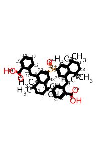 CC1(C)CCC(C)(C)c2c(Cc3ccccc3C(=O)O)cc([S+]([O-])c3cc(Cc4ccccc4C(=O)O)c4c(c3)C(C)(C)CCC4(C)C)cc21